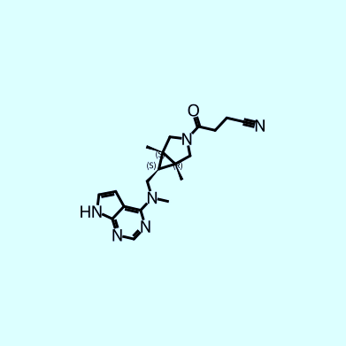 CN(C[C@H]1[C@]2(C)CN(C(=O)CCC#N)C[C@]12C)c1ncnc2[nH]ccc12